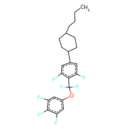 CCCCC1CCC(c2cc(F)c(C(F)(F)Oc3cc(F)c(F)c(F)c3)c(F)c2)CC1